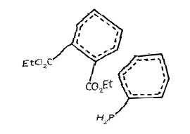 CCOC(=O)c1ccccc1C(=O)OCC.Pc1ccccc1